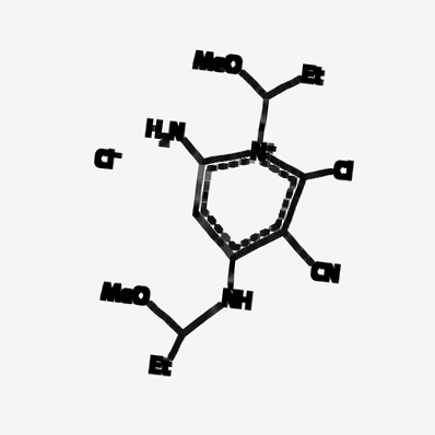 CCC(Nc1cc(N)[n+](C(CC)OC)c(Cl)c1C#N)OC.[Cl-]